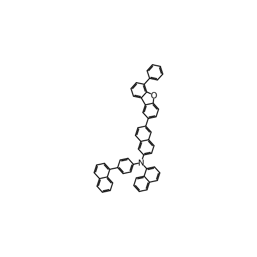 c1ccc(-c2cccc3c2oc2ccc(-c4ccc5cc(N(c6ccc(-c7cccc8ccccc78)cc6)c6cccc7ccccc67)ccc5c4)cc23)cc1